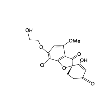 COc1cc(OCCO)c(Cl)c2c1C(=O)[C@@]1(CCC(=O)C=C1O)O2